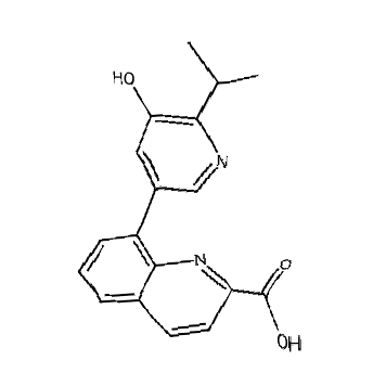 CC(C)c1ncc(-c2cccc3ccc(C(=O)O)nc23)cc1O